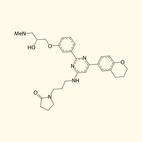 CNCC(O)COc1cccc(-c2nc(NCCCN3CCCC3=O)cc(-c3ccc4c(c3)CCCO4)n2)c1